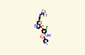 CCN(CC)CC#Cc1cc2nccc(Oc3ccc(NC(=O)c4ccncc4)cc3F)c2s1